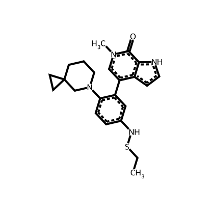 CCSNc1ccc(N2CCCC3(CC3)C2)c(-c2cn(C)c(=O)c3[nH]ccc23)c1